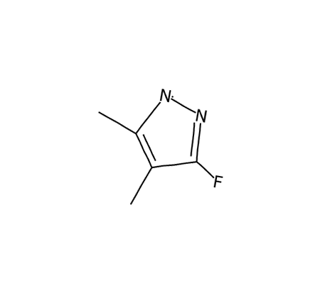 CC1=C(C)C(F)=N[N]1